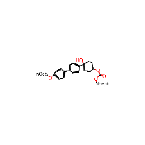 CCCCCCCCOc1ccc(-c2ccc(C3(O)CCC(OC(=O)OCCCCCCC)CC3)cc2)cc1